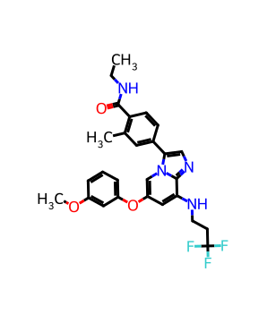 CCNC(=O)c1ccc(-c2cnc3c(NCCC(F)(F)F)cc(Oc4cccc(OC)c4)cn23)cc1C